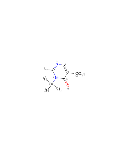 [2H]C([2H])([2H])n1c(C)ncc(C(=O)O)c1=O